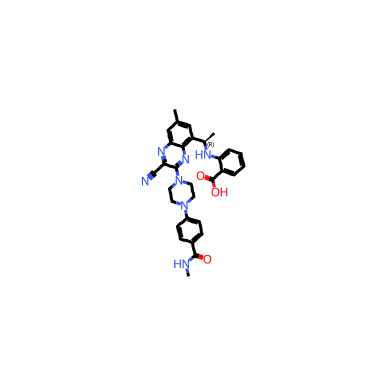 CNC(=O)c1ccc(N2CCN(c3nc4c([C@@H](C)Nc5ccccc5C(=O)O)cc(C)cc4nc3C#N)CC2)cc1